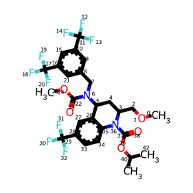 COCC1CC(N(Cc2cc(C(F)(F)F)cc(C(F)(F)F)c2)C(=O)OC)c2cc(C(F)(F)F)ccc2N1C(=O)OC(C)C